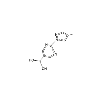 Cc1cnn(-c2ncc(B(O)O)cn2)c1